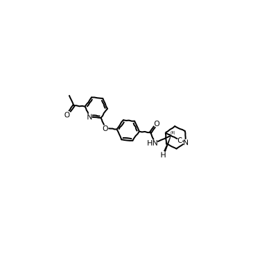 CC(=O)c1cccc(Oc2ccc(C(=O)N[C@H]3CN4CCC3CC4)cc2)n1